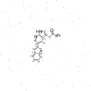 CC(C)C(=O)Cc1c[nH]c2ncc(-c3cc4ccccc4s3)cc12